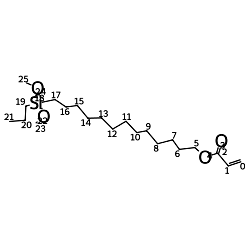 C=CC(=O)OCCCCCCCCCCCCC[Si](CCC)(OC)OC